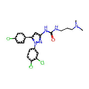 CN(C)CCCNC(=O)Nc1cc(-c2ccc(Cl)cc2)n(-c2ccc(Cl)c(Cl)c2)n1